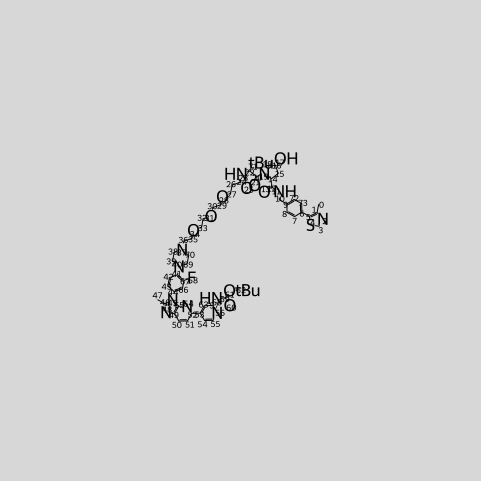 Cc1ncsc1-c1ccc(CNC(=O)[C@@H]2C[C@@H](O)CN2C(=O)[C@@H](NC(=O)CCOCCOCCOCCN2CCN(c3ccc(-n4c(C)nc5ccc(-c6ccnc(NC(=O)OC(C)(C)C)c6)nc54)cc3F)CC2)C(C)(C)C)cc1